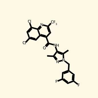 Cc1nn(Cc2cc(F)cc(F)c2)c(C)c1NC(=O)c1cc(C(F)(F)F)nc2c(Cl)cc(Cl)cc12